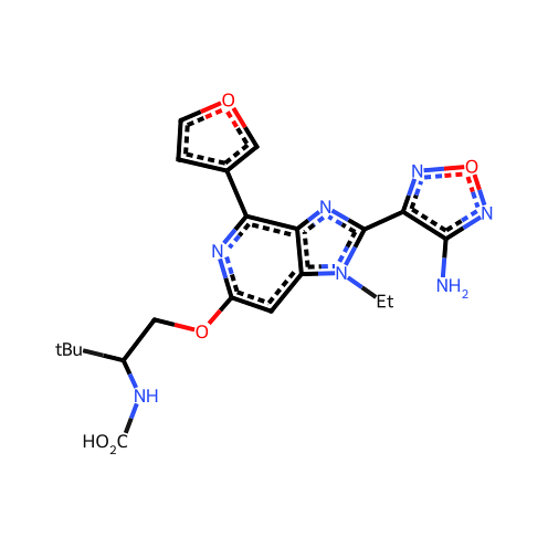 CCn1c(-c2nonc2N)nc2c(-c3ccoc3)nc(OCC(NC(=O)O)C(C)(C)C)cc21